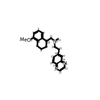 COc1cccc2c1CCCC2CN(C)CCc1ccc2nccnc2c1